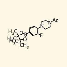 CC(=O)N1CCN(c2ccc(B3OC(C)(C)C(C)(C)O3)cc2F)CC1